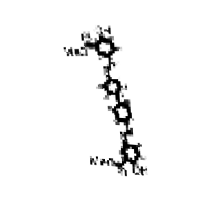 COC(=O)c1cc(N=Nc2ccc(-c3ccc(N=Nc4ccc(O)c(C(=O)OC)c4)cc3)cc2)ccc1O